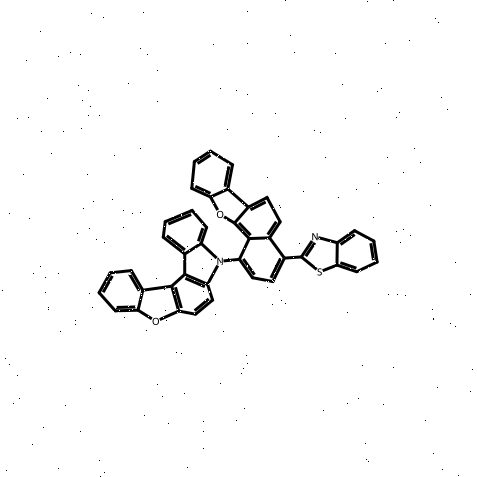 c1ccc2sc(-c3ccc(-n4c5ccccc5c5c6c(ccc54)oc4ccccc46)c4c3ccc3c5ccccc5oc34)nc2c1